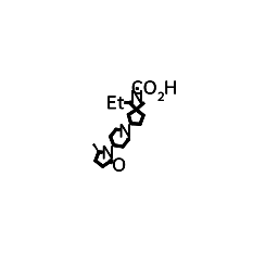 CCC1N(C(=O)O)CC12CCC(N1CCC(N3C(=O)CC[C@H]3C)CC1)C2